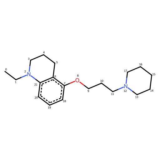 CCN1CCCc2c(OCCCN3CCCCC3)cccc21